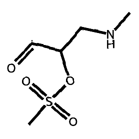 CNCC([C]=O)OS(C)(=O)=O